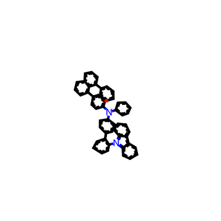 c1ccc(-c2cccc3cccc(-c4ccc(N(c5ccccc5)c5ccc(-c6ccccc6-n6c7ccccc7c7ccccc76)cc5)cc4)c23)cc1